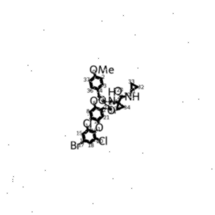 COc1ccc(COc2ccc(Oc3c(Cl)cc(Br)cc3Cl)cc2S(=O)(=O)NC2(C(=O)NC3CC3)CC2)cc1